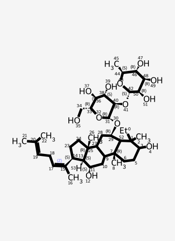 CCC1(C)C(O)CC[C@]2(C)C3C[C@H](O)[C@H]4[C@@H](/C(C)=C\CC=C(C)C)CC[C@]4(C)C3C[C@@H](O[C@@H]3O[C@H](CO)[C@@H](O)[C@H](O)[C@H]3O[C@@H]3O[C@@H](C)[C@H](O)[C@@H](O)[C@H]3O)C12